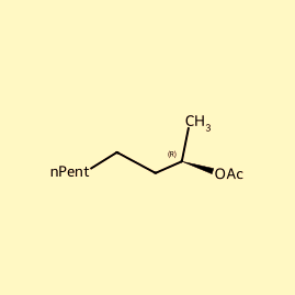 CCCCCCC[C@@H](C)OC(C)=O